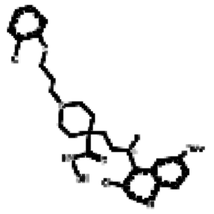 COc1ccc2ncc(Cl)c([C@H](F)CCC3(C(=O)NO)CCN(CCCSc4ccccc4Cl)CC3)c2c1